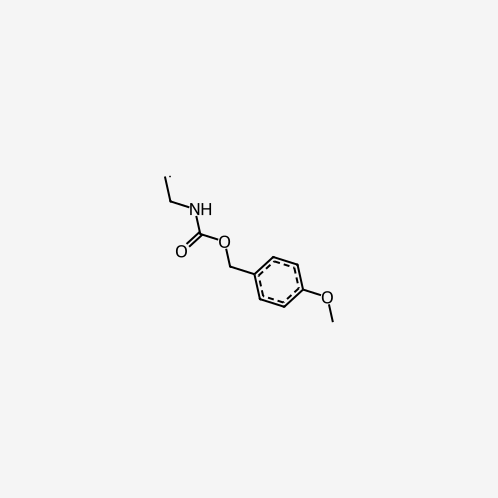 [CH2]CNC(=O)OCc1ccc(OC)cc1